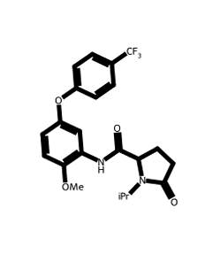 COc1ccc(Oc2ccc(C(F)(F)F)cc2)cc1NC(=O)C1CCC(=O)N1C(C)C